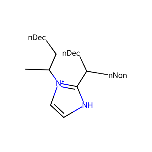 CCCCCCCCCCCC(C)[n+]1cc[nH]c1C(CCCCCCCCC)CCCCCCCCCC